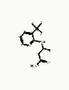 CC(CC(N)=O)Nc1ncccc1C(C)(C)C